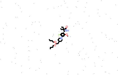 CCCCOC(CC1CCN(c2cc(OC)c([C@@H]3NC(=O)C3(CC)CC)cc2F)CC1)OCCCC